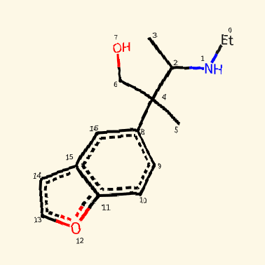 CCNC(C)C(C)(CO)c1ccc2occc2c1